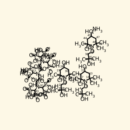 CC(C)(O)CON1C(C)(C)CC(O)CC1(C)C.CC(C)(O)CON1C(C)(C)CC(O)CC1(C)C.CC(C)(O)CON1C(C)(C)CC(O)CC1(C)C.N.N.O=P(O)(O)C(N(CCN(C(P(=O)(O)O)P(=O)(O)O)C(P(=O)(O)O)P(=O)(O)O)CCN(C(P(=O)(O)O)P(=O)(O)O)C(P(=O)(O)O)P(=O)(O)O)P(=O)(O)O